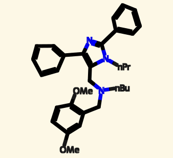 CCCCN(Cc1cc(OC)ccc1OC)Cc1c(-c2ccccc2)nc(-c2ccccc2)n1CCC